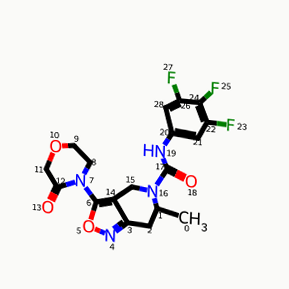 CC1Cc2noc(N3CCOCC3=O)c2CN1C(=O)Nc1cc(F)c(F)c(F)c1